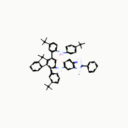 Cn1c(-c2ccccc2)nc2cc3c(cc21)-n1c2ccc(C(C)(C)C)cc2c2c4c(c5c(c21)B3N(c1ccc(C(C)(C)C)cc1)c1ccc(C(C)(C)C)cc1-5)C(C)(C)c1ccccc1-4